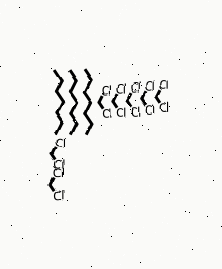 CCCCCCC.CCCCCCC.CCCCCCC.ClCCl.ClCCl.ClCCl.ClCCl.ClCCl.ClCCl.ClCCl